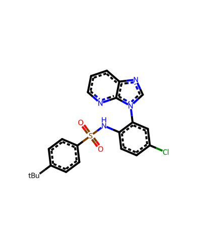 CC(C)(C)c1ccc(S(=O)(=O)Nc2ccc(Cl)cc2-n2cnc3cccnc32)cc1